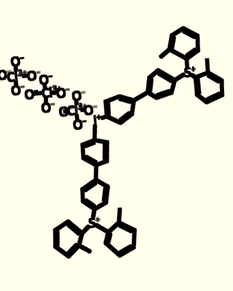 Cc1ccccc1[S+](c1ccc(-c2ccc([I+]c3ccc(-c4ccc([S+](c5ccccc5C)c5ccccc5C)cc4)cc3)cc2)cc1)c1ccccc1C.[O-][Cl+3]([O-])([O-])[O-].[O-][Cl+3]([O-])([O-])[O-].[O-][Cl+3]([O-])([O-])[O-]